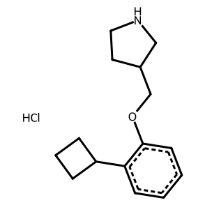 Cl.c1ccc(C2CCC2)c(OCC2CCNC2)c1